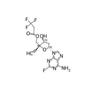 C#C[C@]1(COC(=O)CC(F)(F)F)O[C@@H](n2cnc3c(N)nc(F)nc32)C[C@@H]1O